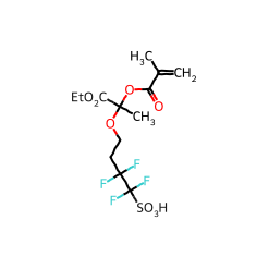 C=C(C)C(=O)OC(C)(OCCC(F)(F)C(F)(F)S(=O)(=O)O)C(=O)OCC